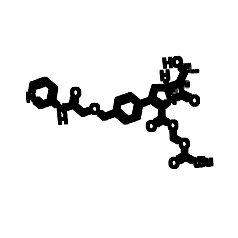 C[C@@H](O)[C@H]1C(=O)N2C(C(=O)OCOC(=O)C(C)(C)C)=C(c3ccc(COCC(=O)Nc4cccnc4)cc3)C[C@H]12